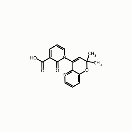 CC1(C)C=C(n2cccc(C(=O)O)c2=O)c2ncccc2O1